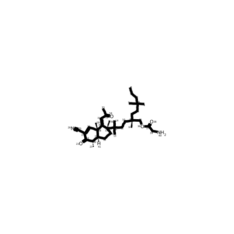 CCCC(C)(C)CC[C@@](C)(CCC(C)(C)[C@]1(C)CC[C@H]2[C@H](C)C(=O)C(C#N)=C[C@]2(C)/C1=C/C(C)=O)COC(=O)CN